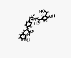 C[C@H](Cc1ccc(C(Cc2cccc(Cl)c2)C(N)=O)cc1)NC[C@H](O)c1ccc(O)c(CO)c1